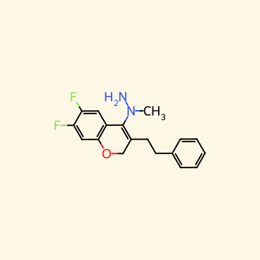 CN(N)C1=C(CCc2ccccc2)COc2cc(F)c(F)cc21